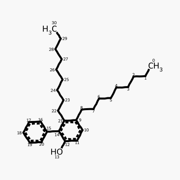 CCCCCCCCCc1ccc(O)c(-c2ccccc2)c1CCCCCCCCC